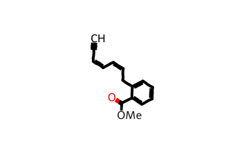 C#C/C=C\C=C/Cc1ccccc1C(=O)OC